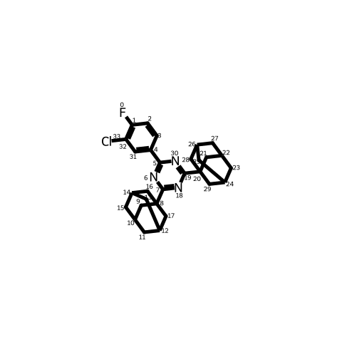 Fc1ccc(-c2nc(C34CC5CC(CC(C5)C3)C4)nc(C34CC5CC(CC(C5)C3)C4)n2)cc1Cl